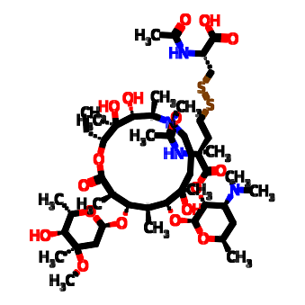 CC[C@H]1OC(=O)[C@H](C)[C@@H](O[C@H]2C[C@@](C)(OC)[C@@H](O)[C@H](C)O2)[C@H](C)[C@@H](O[C@@H]2O[C@H](C)C[C@H](N(C)C)[C@H]2OC(=O)[C@H](CCSSC[C@H](NC(C)=O)C(=O)O)NC(C)=O)[C@](C)(O)C[C@@H](C)CN(C)[C@H](C)[C@@H](O)[C@]1(C)O